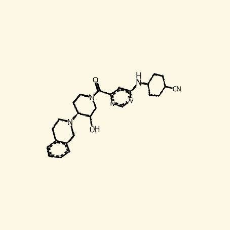 N#CC1CCC(Nc2cc(C(=O)N3CC[C@H](N4CCc5ccccc5C4)C(O)C3)ncn2)CC1